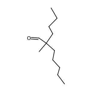 CCCCCC(C)(C=O)CCCC